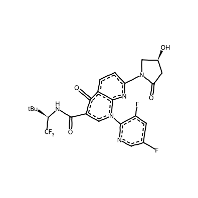 CC(C)(C)[C@@H](NC(=O)c1cn(-c2ncc(F)cc2F)c2nc(N3C[C@@H](O)CC3=O)ccc2c1=O)C(F)(F)F